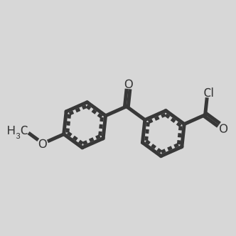 COc1ccc(C(=O)c2cccc(C(=O)Cl)c2)cc1